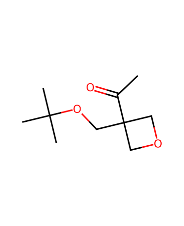 CC(=O)C1(COC(C)(C)C)COC1